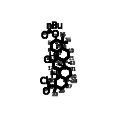 CCCCC(=O)O[C@H]1CC[C@@]2(C)C(CC[C@]3(C)[C@@H]2C(=O)C=C2[C@@H]4CC(C)(C(=O)Cl)CC[C@]4(C)CC[C@]23C)C1(C)C